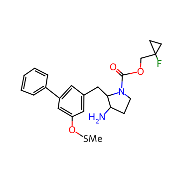 CSOc1cc(CC2C(N)CCN2C(=O)OCC2(F)CC2)cc(-c2ccccc2)c1